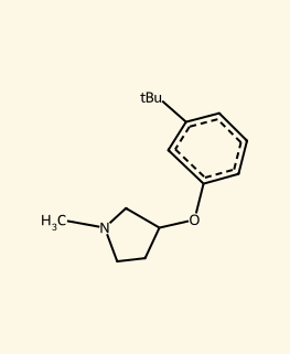 CN1CCC(Oc2cccc(C(C)(C)C)c2)C1